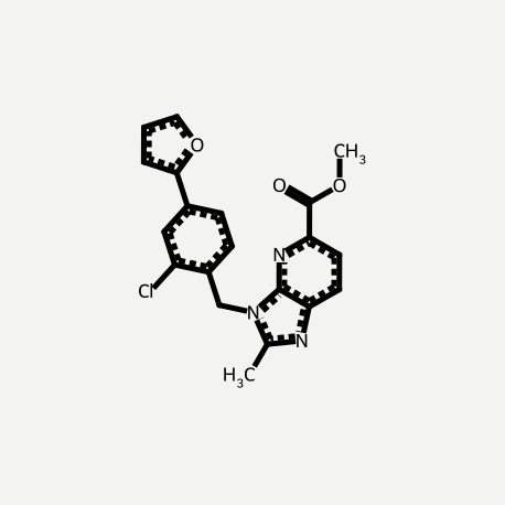 COC(=O)c1ccc2nc(C)n(Cc3ccc(-c4ccco4)cc3Cl)c2n1